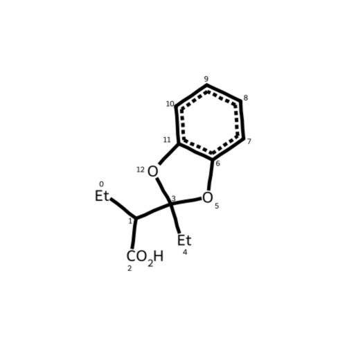 CCC(C(=O)O)C1(CC)Oc2ccccc2O1